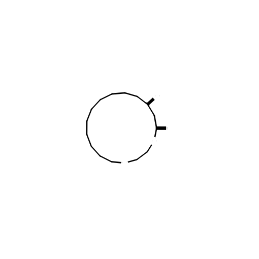 O=C1CCCCCCCCCCOCCOC(=O)C1